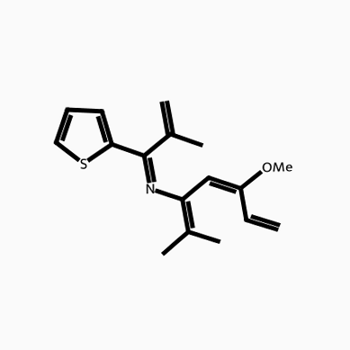 C=C/C(=C\C(/N=C(\C(=C)C)c1cccs1)=C(C)C)OC